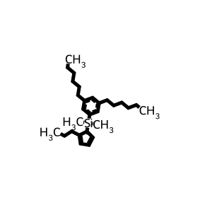 CCCCCCc1cc(CCCCCC)cc([Si](C)(C)[C]2C=CC=C2CCC)c1